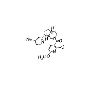 COc1ccc(C(=O)N2CC[C@H]3CCN(c4cc(C#N)ccn4)[C@H]3C2)c(C2CC2)n1